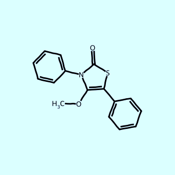 COc1c(-c2ccccc2)sc(=O)n1-c1ccccc1